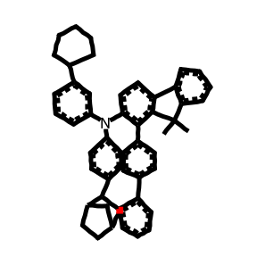 CC1(C)c2ccccc2-c2ccc(N(c3ccc(C4CC5CCC4C5)cc3)c3cccc(C4CCCCC4)c3)c(-c3ccc(-c4ccccc4)cc3)c21